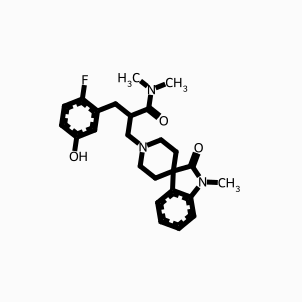 CN(C)C(=O)C(Cc1cc(O)ccc1F)CN1CCC2(CC1)C(=O)N(C)c1ccccc12